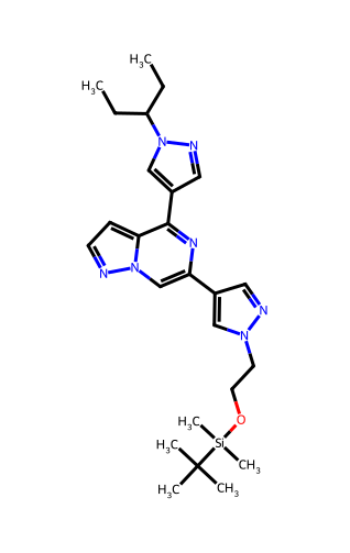 CCC(CC)n1cc(-c2nc(-c3cnn(CCO[Si](C)(C)C(C)(C)C)c3)cn3nccc23)cn1